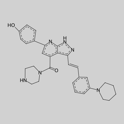 O=C(c1cc(-c2ccc(O)cc2)nc2[nH]nc(/C=C/c3cccc(N4CCCCC4)c3)c12)N1CCNCC1